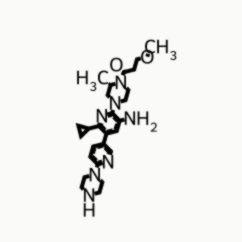 COCCC(=O)N1CCN(c2nc(C3CC3)c(-c3ccc(N4CCNCC4)nc3)cc2N)C[C@H]1C